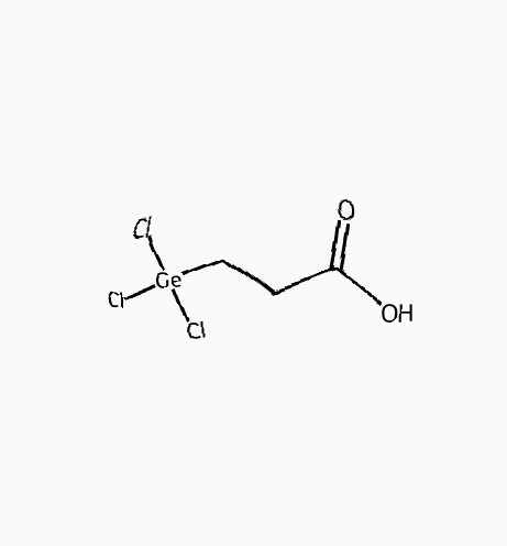 O=C(O)C[CH2][Ge]([Cl])([Cl])[Cl]